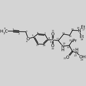 CC#CCOc1ccc(S(=O)(=O)C(CCCN(CC)CC)NC(C(=O)NO)C(C)C)cc1